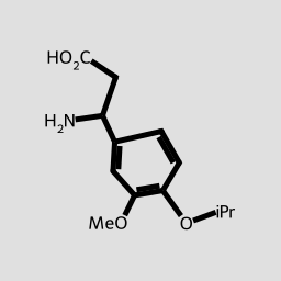 COc1cc(C(N)CC(=O)O)ccc1OC(C)C